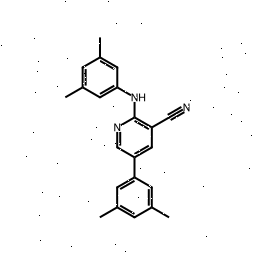 Cc1cc(C)cc(Nc2ncc(-c3cc(C)cc(C)c3)cc2C#N)c1